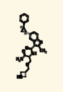 Cc1oc2ccc([C@@H]3C[C@H]3c3ccccc3)cc2c1C(=O)NC(COCC1CNC1)C(N)=O